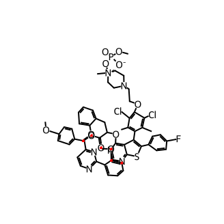 COc1ccc(COC(=O)C(Cc2ccccc2OCc2ccnc(-c3ccccc3OC)n2)Oc2ncnc3sc(-c4ccc(F)cc4)c(-c4c(C)c(Cl)c(OCCN5CC[N+](C)(OP(=O)([O-])OC)CC5)c(Cl)c4C)c23)cc1